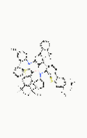 CC(C)(C)c1ccc(N2B3c4c(cc5c(c4-c4ccc6c(sc7cc8c(cc76)C(C)(C)CCC8(C)C)c42)C(C)(C)c2ccccc2-5)N(c2ccc(C(C)(C)C)cc2-c2ccccc2)c2sc4cc5c(cc4c23)C(C)(C)CCC5(C)C)cc1